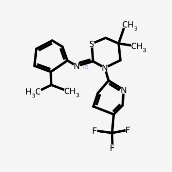 CC(C)c1ccccc1/N=C1\SCC(C)(C)CN1c1ccc(C(F)(F)F)cn1